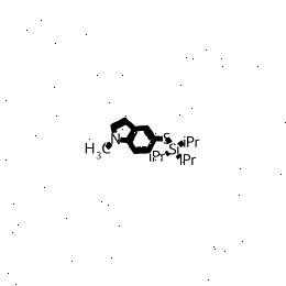 CC(C)[Si](Sc1ccc2c(ccn2C)c1)(C(C)C)C(C)C